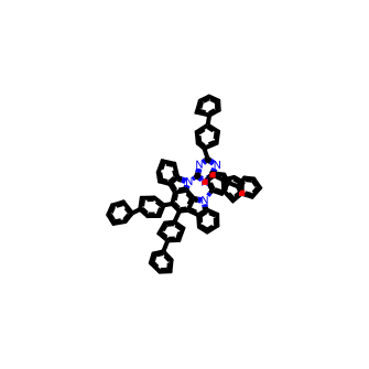 c1ccc(-c2ccc(-c3nc(-c4ccccc4)nc(-n4c5ccccc5c5c(-c6ccc(-c7ccccc7)cc6)c(-c6ccc(-c7ccccc7)cc6)c6c7ccccc7n(-c7cccc(-c8ccccc8)c7)c6c54)n3)cc2)cc1